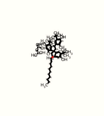 CCCCCCCCCCCCCC(CC(C)c1cc(C(C)(C)C)c(O)cc1C)(c1cc(C(C)(C)C)c(O)cc1C)c1cc(C(C)(C)C)c(O)cc1C.OP(O)OP(O)O